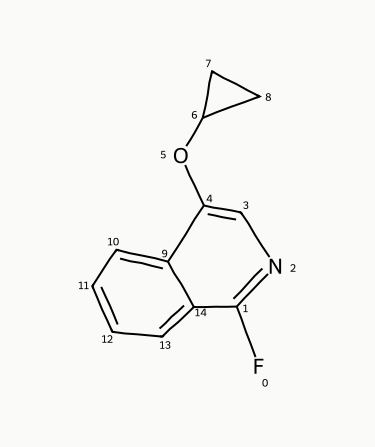 Fc1ncc(OC2CC2)c2ccccc12